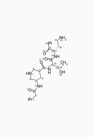 CC(C)CC(=O)NC1CNCC(C(=O)N[C@H](C(=O)N[C@@H](CCN)C(=O)C(C)C)[C@H](C)O)C1